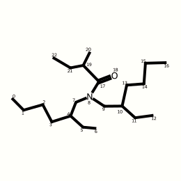 CCCCC(CC)CN(CC(CC)CCCC)C(=O)C(C)CC